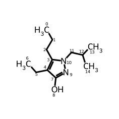 CCCc1c(CC)c(O)nn1CC(C)C